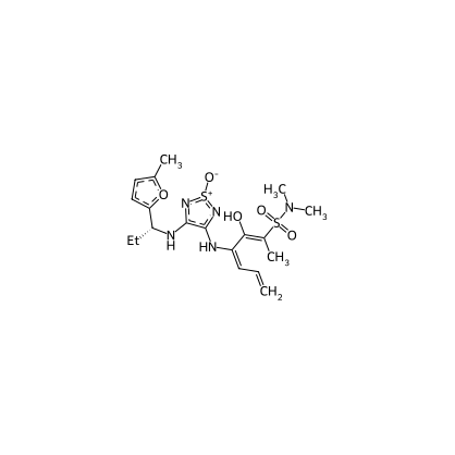 C=C/C=C(Nc1n[s+]([O-])nc1N[C@H](CC)c1ccc(C)o1)\C(O)=C(/C)S(=O)(=O)N(C)C